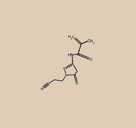 C=C(C)C(=O)NC1=NN(CCC#N)C(=O)C1